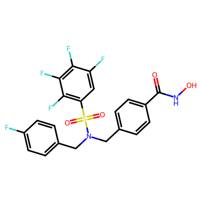 O=C(NO)c1ccc(CN(Cc2ccc(F)cc2)S(=O)(=O)c2cc(F)c(F)c(F)c2F)cc1